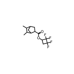 CC1C2CC(C(=O)OC3CC(F)(F)C3(F)F)C(C2)C1C